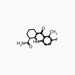 Cc1c(F)ccc2[nH]c3c(c(=O)c12)CCCC3C(N)=O